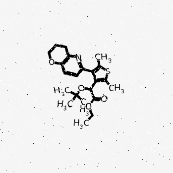 CCOC(=O)C(OC(C)(C)C)c1c(C)sc(C)c1-c1ccc2c(n1)CCCO2